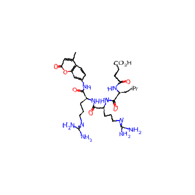 Cc1cc(=O)oc2cc(NC(=O)[C@H](CCCN=C(N)N)NC(=O)[C@H](CCCN=C(N)N)NC(=O)[C@H](CC(C)C)NC(=O)CCC(=O)O)ccc12